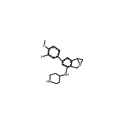 COc1ccc(-c2cc(NC3CCNCC3)c3c(c2)C2CN2C3)cc1F